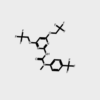 CN(C(=O)Nc1nc(OCC(F)(F)F)cc(OCC(F)(F)F)n1)c1ccc(C(F)(F)F)cc1